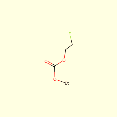 CCOC(=O)OCCF